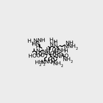 CC(C)[C@H](N)C(=O)N[C@@H](CCCNC(=N)N)C(=O)N[C@@H](CCC(N)=O)C(=O)N[C@@H](CC(N)=O)C(=O)N[C@@H](CC(N)=O)C(=O)N[C@@H](CCCN)C(=O)N[C@@H](CCCNC(=N)N)C(=O)N[C@H](C(=O)O)C(C)C